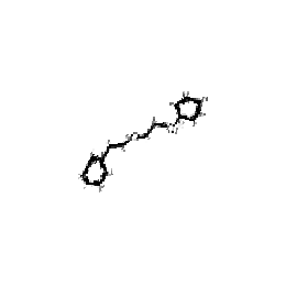 c1ccc(CCOCCOc2ccccc2)cc1